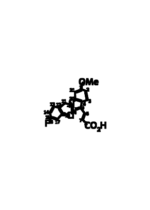 COc1ccc2c(C=CC(=O)O)nn(Cc3ccc(F)cc3Cl)c2c1